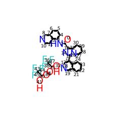 O=C(Nc1cccc2cnccc12)c1nc(-c2cncc3ccccc23)n2ccccc12.O=C(O)C(F)(F)F.O=C(O)C(F)(F)F